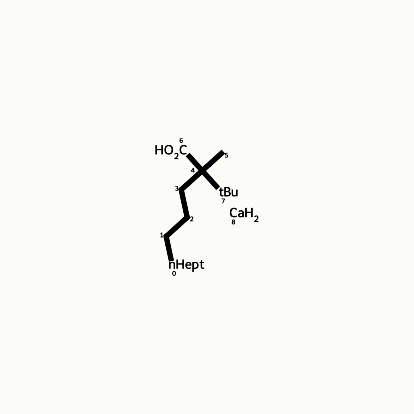 CCCCCCCCCCC(C)(C(=O)O)C(C)(C)C.[CaH2]